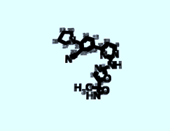 CC1(c2cnc(Nc3nccc(-c4ccc(N5CCCC5)c(C#N)c4)n3)o2)NO1